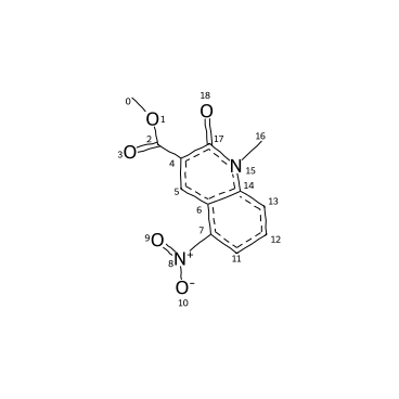 COC(=O)c1cc2c([N+](=O)[O-])cccc2n(C)c1=O